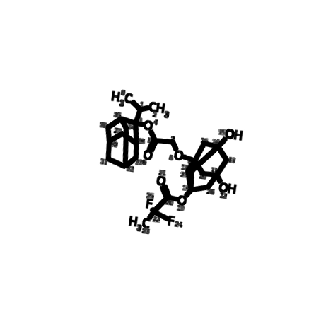 CC(C)C1(OC(=O)COC23CC4(O)CC(O)(C2)CC(OC(=O)C(C)(F)F)(C4)C3)C2CC3CC(C2)CC1C3